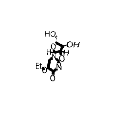 CCOc1cn2c(nc1=O)O[C@H]1[C@H](O)[C@@H](CO)O[C@H]12